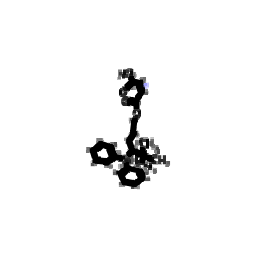 CC(C)(C)C(CCCOC(=O)/C=C\C(=O)O)[SiH](c1ccccc1)c1ccccc1